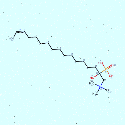 CCCC/C=C\CCCCCCCCCCCCC(O)(C[N+](C)(C)C)P(=O)(O)O